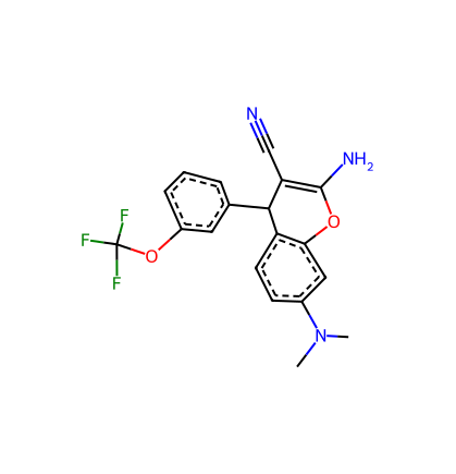 CN(C)c1ccc2c(c1)OC(N)=C(C#N)C2c1cccc(OC(F)(F)F)c1